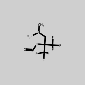 CN(C)CC(OC=O)(C(F)(F)F)C(F)(F)F